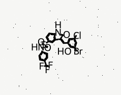 O=C1Nc2ccc(S(=O)(=O)Nc3ccc(C(F)(F)F)cc3)cc2C1=Cc1cc(Cl)cc(Br)c1O